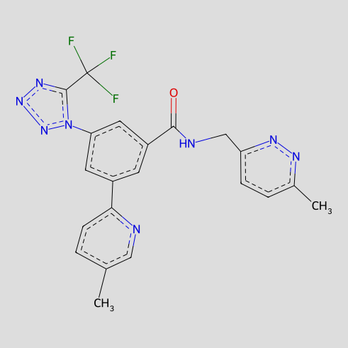 Cc1ccc(-c2cc(C(=O)NCc3ccc(C)nn3)cc(-n3nnnc3C(F)(F)F)c2)nc1